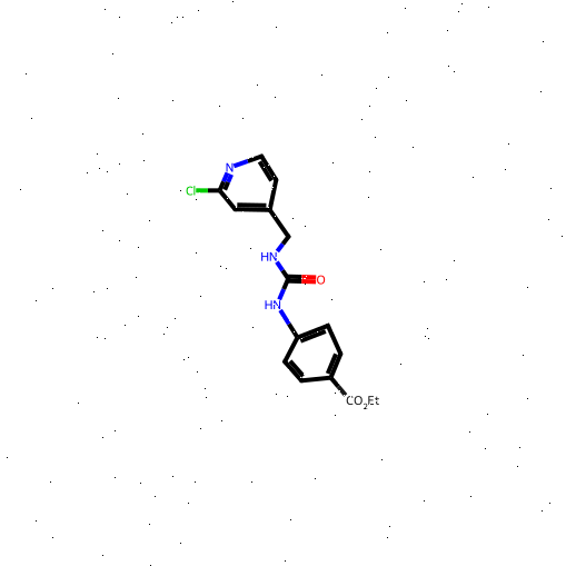 CCOC(=O)c1ccc(NC(=O)NCc2ccnc(Cl)c2)cc1